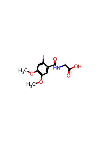 COc1cc(I)c(C(=O)NCC(=O)O)cc1OC